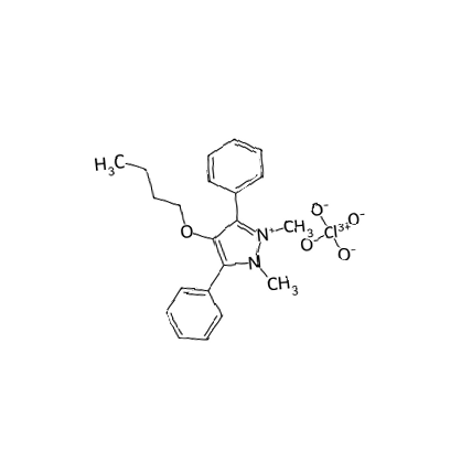 CCCCOc1c(-c2ccccc2)n(C)[n+](C)c1-c1ccccc1.[O-][Cl+3]([O-])([O-])[O-]